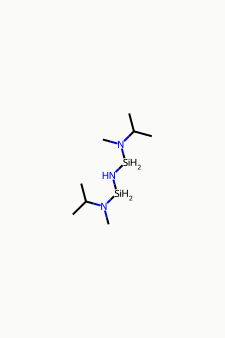 CC(C)N(C)[SiH2]N[SiH2]N(C)C(C)C